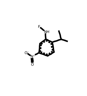 CC(C)c1ccc([N+](=O)[O-])cc1NF